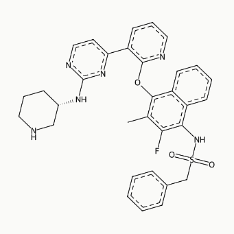 Cc1c(F)c(NS(=O)(=O)Cc2ccccc2)c2ccccc2c1Oc1ncccc1-c1ccnc(N[C@H]2CCCNC2)n1